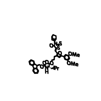 COc1cc(OC)cc(-c2cc(CCCOC(=O)[C@H](CC(C)C)NC(=O)OCC3c4ccccc4-c4ccccc43)c(/C=C3\SC(=S)N(C4CC5CCC4C5)C3=O)o2)c1